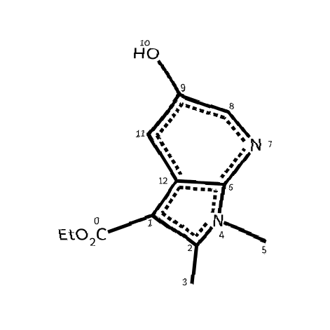 CCOC(=O)c1c(C)n(C)c2ncc(O)cc12